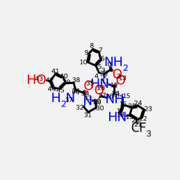 NC(=O)[C@H](Cc1ccccc1)NC(=O)[C@H](Cc1c[nH]c2c(C(F)(F)F)cccc12)NC(=O)[C@@H]1CCCN1C(=O)[C@H](N)Cc1ccc(O)cc1